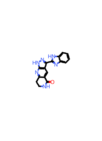 O=C1NCCc2nc3[nH]nc(-c4nc5ccccc5[nH]4)c3cc21